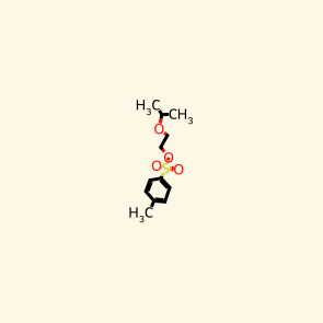 Cc1ccc(S(=O)(=O)OCCOC(C)C)cc1